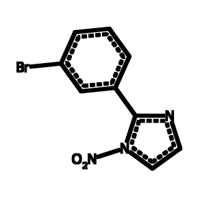 O=[N+]([O-])n1ccnc1-c1cccc(Br)c1